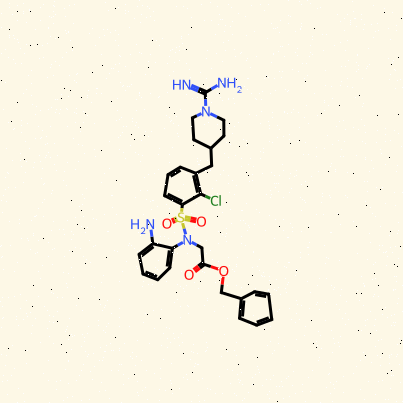 N=C(N)N1CCC(Cc2cccc(S(=O)(=O)N(CC(=O)OCc3ccccc3)c3ccccc3N)c2Cl)CC1